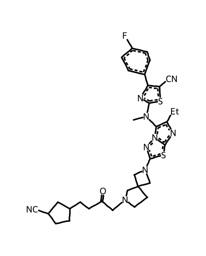 CCc1nc2sc(N3CC4(CCN(CC(=O)CCC5CCC(C#N)C5)C4)C3)nn2c1N(C)c1nc(-c2ccc(F)cc2)c(C#N)s1